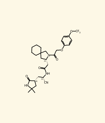 CC1(C)C[C@@H](C[C@@H](C#N)NC(=O)C[C@@H]2CC3(CCCCC3)CN2C(=O)COc2ccc(OC(F)(F)F)cc2)C(=O)N1